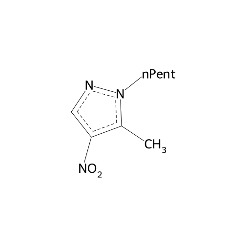 CCCCCn1ncc([N+](=O)[O-])c1C